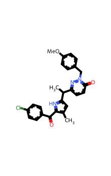 COc1ccc(Cn2nc(C(C)c3cc(C)c(C(=O)c4ccc(Cl)cc4)[nH]3)ccc2=O)cc1